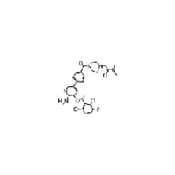 CC(Oc1cc(-c2ccc(C(=O)N3CCN(CC(=O)N(C)C)CC3)cc2)cnc1N)c1c(Cl)ccc(F)c1Cl